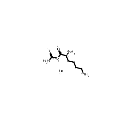 NCCCC[C@H](N)C(=O)OC(N)=S.[La]